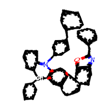 c1ccc(-c2ccc(N(c3ccc4ccc5ccc6nc(-c7ccccc7)oc6c5c4c3)c3ccccc3[SiH](c3ccccc3)c3ccccc3)cc2)cc1